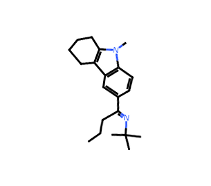 CCCC(=NC(C)(C)C)c1ccc2c(c1)c1c(n2C)CCCC1